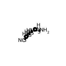 N#CSc1ccc(NC(=S)NC(=S)Nc2ccc(NC(N)=S)cc2)cc1